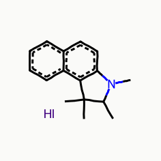 CC1N(C)c2ccc3ccccc3c2C1(C)C.I